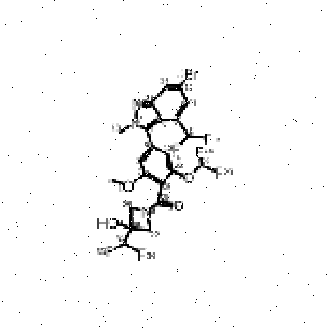 COc1cc(-c2c3c(C(F)F)cc(Br)cc3nn2C)cc(OC(F)F)c1C(=O)N1CC(O)(C(F)F)C1